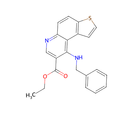 CCOC(=O)c1cnc2ccc3sccc3c2c1NCc1ccccc1